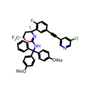 COc1ccc(C(NC2=N[C@](C)(c3cc(C#Cc4cncc(Cl)c4)ccc3F)C[C@@H](C(F)(F)F)O2)(c2ccccc2)c2ccc(OC)cc2)cc1